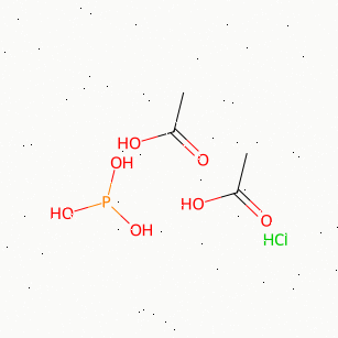 CC(=O)O.CC(=O)O.Cl.OP(O)O